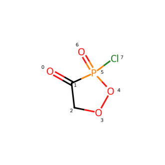 O=C1COOP1(=O)Cl